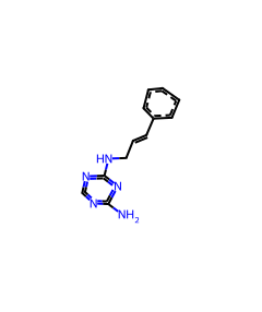 Nc1ncnc(NCC=Cc2ccccc2)n1